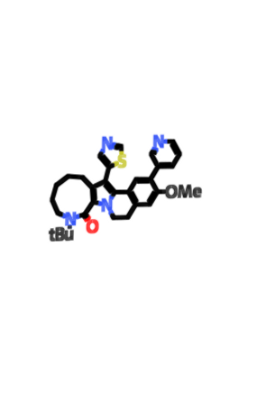 COc1cc2c(cc1-c1cccnc1)-c1c(-c3cncs3)c3c(n1CC2)C(=O)N(C(C)(C)C)CCCCC3